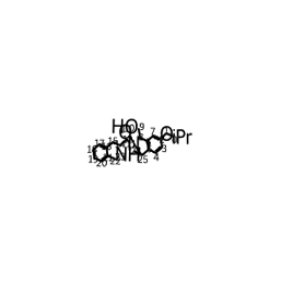 CC(C)Oc1ccc2c(c1)C(CO)N(C(=O)C1Cc3ccccc3CN1)CC2